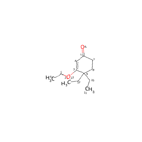 CCOC1=CC(=O)CCC1(CC)CC